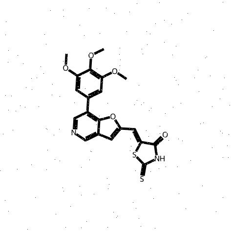 COc1cc(-c2cncc3cc(/C=C4\SC(=S)NC4=O)oc23)cc(OC)c1OC